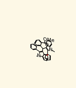 COC(=O)c1ccccc1C(c1c(-c2ccccc2)n(C)c2ccccc12)c1c(-c2ccccc2)n(C)c2ccccc12